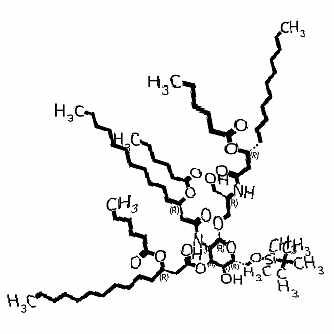 CCCCCCCCCCC[C@H](CC(=O)N[C@H](CO)CO[C@@H]1O[C@H](CO[Si](C)(C)C(C)(C)C)[C@@H](O)[C@H](OC(=O)C[C@@H](CCCCCCCCCCC)OC(=O)CCCCC)[C@H]1NC(=O)C[C@@H](CCCCCCCCCCC)OC(=O)CCCCC)OC(=O)CCCCC